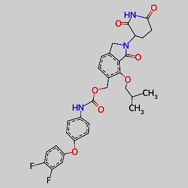 CC(C)COc1c(COC(=O)Nc2ccc(Oc3ccc(F)c(F)c3)cc2)ccc2c1C(=O)N(C1CCC(=O)NC1=O)C2